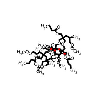 CCCC(=O)OCC(COCC(COCC(COC(=O)CCC)(CC(C)COOC)CC(C)COOC)(COC(=O)CCC)CC(C)COOC)(COCC(COC(=O)CCC)(COC(=O)CCC)CC(C)COOC)CC(C)COOC